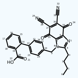 CCCCc1nc2c(n1Cc1ccc(-c3ccccc3C(=O)O)cc1)C(=O)C(C#N)=C(C#N)C2=O